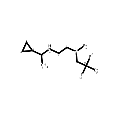 CCN(CCNC(C)C1CC1)CC(F)(F)CC